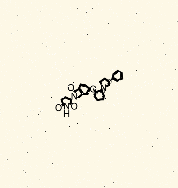 O=C1CCC(N2Cc3cc(O[C@@H]4CCCC[C@H]4N4CC[C@@H](c5ccccc5)C4)ccc3C2=O)C(=O)N1